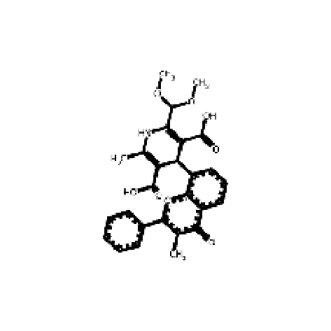 COC(OC)C1=C(C(=O)O)C(c2cccc3c(=O)c(C)c(-c4ccccc4)oc23)C(C(=O)O)=C(C)N1